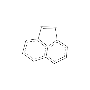 [C]1=[C]c2cccc3cccc1c23